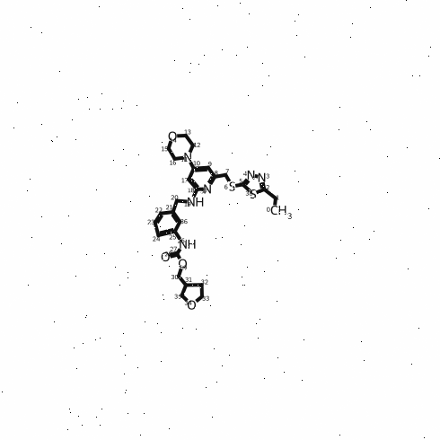 CCc1nnc(SCc2cc(N3CCOCC3)cc(NCc3cccc(NC(=O)OCC4CCOC4)c3)n2)s1